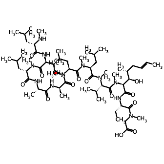 C/C=C/C[C@@H](C)[C@@H](O)[C@@H](C(=O)N[C@@H](CC)C(=O)N(C)CC(=O)O)N(C)C(=O)[C@H](C(C)C)N(C)C(=O)[C@H](CC(C)C)N(C)C(=O)[C@H](CC(C)C)N(C)C(=O)[C@@H](C)NC(=O)[C@H](C)NC(=O)[C@H](CC(C)C)N(C)C(=O)[C@@H](NC(=O)[C@H](CC(C)C)NC)C(C)C